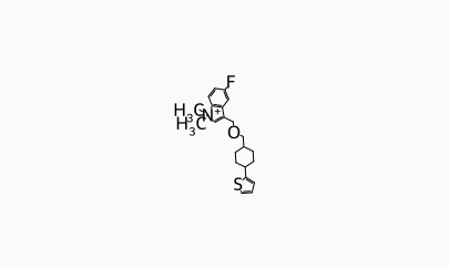 C[N+]1(C)C=C(COCC2CCC(c3cccs3)CC2)c2cc(F)ccc21